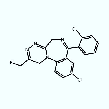 FCC1=NN=C2CN=C(c3ccccc3Cl)c3cc(Cl)ccc3N2C1